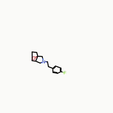 Fc1ccc(CCN2CC3CC4CCC3(C2)O4)cc1